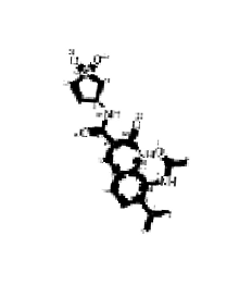 CC(=O)Nc1c(C(C)C)ccc2cc(C(=O)N[C@@H]3C=CS(=O)(=O)C3)c(=O)[nH]c12